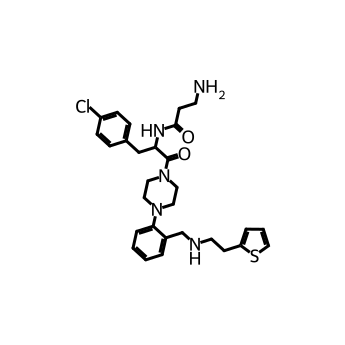 NCCC(=O)NC(Cc1ccc(Cl)cc1)C(=O)N1CCN(c2ccccc2CNCCc2cccs2)CC1